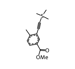 COC(=O)c1ccc(C)c(C#CS(C)(C)C)c1